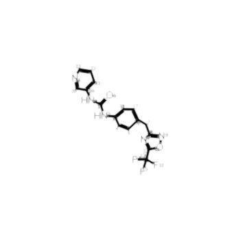 O=C(Nc1ccc(Cc2noc(C(F)(F)F)n2)cc1)Nc1cccnc1